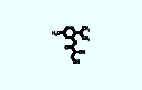 CC1CCC(C(C)C)C(OC(=O)[C@@H](O)CO)C1